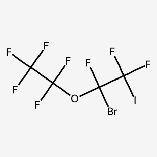 FC(F)(F)C(F)(F)OC(F)(Br)C(F)(F)I